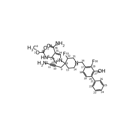 COC(=O)Nc1nn(C2(CC#CN)CCN(Cc3ccc(-c4ccccc4)c(O)c3F)CC2F)cc1C(N)=O